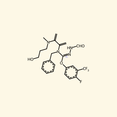 C=C(C(=C)N(Cc1ccccc1)/C(=N\NC=O)Oc1ccc(F)c(C(F)(F)F)c1)N(C)CCCO